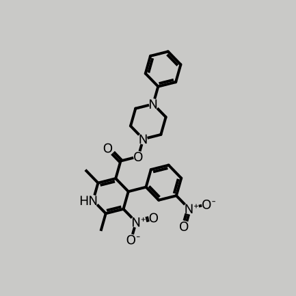 CC1=C(C(=O)ON2CCN(c3ccccc3)CC2)C(c2cccc([N+](=O)[O-])c2)C([N+](=O)[O-])=C(C)N1